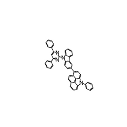 c1ccc(-c2cc(-c3ccccc3)nc(-n3c4ccccc4c4cc(-c5ccc6c7c5ccc5cccc(c57)n6-c5ccccc5)ccc43)n2)cc1